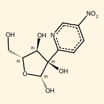 O=[N+]([O-])c1ccc([C@]2(O)[C@H](O)O[C@H](CO)[C@H]2O)nc1